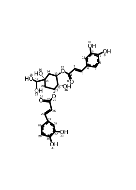 O=C(/C=C/c1ccc(O)c(O)c1)O[C@@H]1C[C@](O)(C(O)O)C[C@@H](OC(=O)/C=C/c2ccc(O)c(O)c2)[C@H]1O